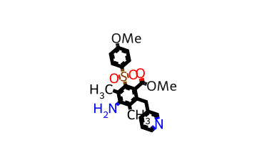 COC(=O)c1c(Cc2cccnc2)c(C)c(N)c(C)c1S(=O)(=O)c1ccc(OC)cc1